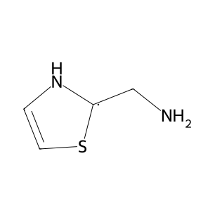 NC[C]1NC=CS1